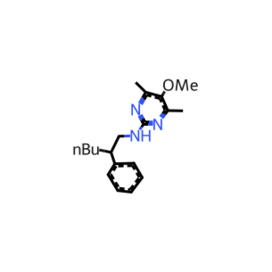 CCCCC(CNc1nc(C)c(OC)c(C)n1)c1ccccc1